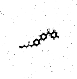 C=CCCNCc1ccc(-c2ccc(C(=O)c3ccc(F)cc3F)cc2)cc1